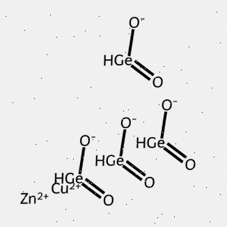 [Cu+2].[O]=[GeH][O-].[O]=[GeH][O-].[O]=[GeH][O-].[O]=[GeH][O-].[Zn+2]